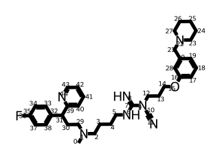 CN(CCCCNC(=N)N(C#N)CCCOc1cccc(CN2CCCCC2)c1)CCC(c1ccc(F)cc1)c1ccccn1